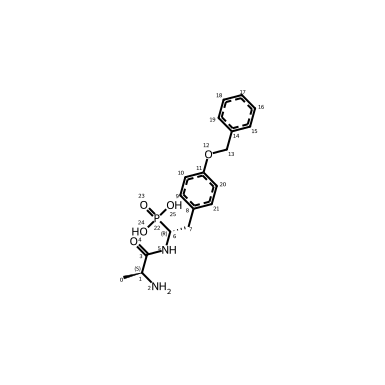 C[C@H](N)C(=O)N[C@@H](Cc1ccc(OCc2ccccc2)cc1)P(=O)(O)O